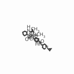 COc1cc(C(=O)NC2CCN(C3CC3)CC2)ccc1Nc1ncc(C)c(N[C@@H]2CCCC[C@H]2NC(C)=O)n1